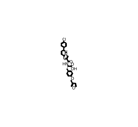 O=C(N[C@@H](Cc1ccc(OCc2ccoc2)cc1)C(=O)O)c1cn2nc(-c3ccc(Cl)cc3)ccc2n1